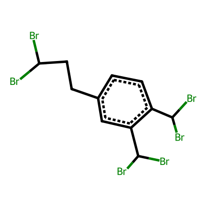 BrC(Br)CCc1ccc(C(Br)Br)c(C(Br)Br)c1